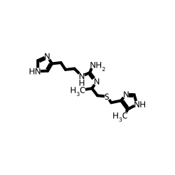 Cc1[nH]cnc1CSCC(C)N=C(N)NCCCc1c[nH]cn1